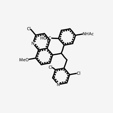 COc1ccc(C(Cc2c(Cl)cncc2Cl)c2cc(NC(C)=O)ccc2C(=O)O)c2ccc(Cl)nc12